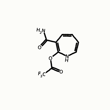 NC(=O)C1=C(OC(=O)C(F)(F)F)NC=CC=C1